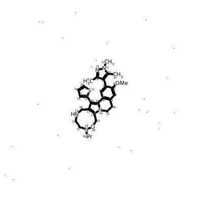 COc1cc2c(cc1-c1c(C)nn(C)c1C)-c1c(-c3cccs3)c3c(n1CC2)CON(C(C)C)CCNC3